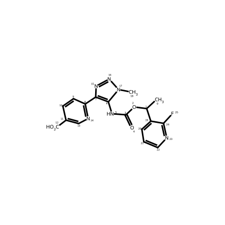 CC(OC(=O)Nc1c(-c2ccc(C(=O)O)cn2)nnn1C)c1cccnc1F